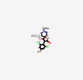 CCOC(=O)OC1=C(c2c(Cl)cc(Br)cc2Cl)C(=O)OC12CCN(OC)CC2